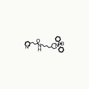 O=C(CCc1cccnc1)NCCCCC1CCN(P(=O)(c2ccccc2)c2ccccc2)CC1